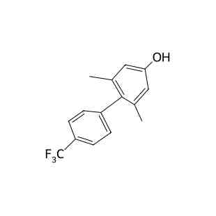 Cc1cc(O)cc(C)c1-c1ccc(C(F)(F)F)cc1